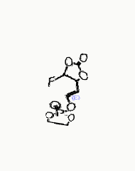 O=C1OC(F)C(/C=C/OP2(=O)OCCO2)O1